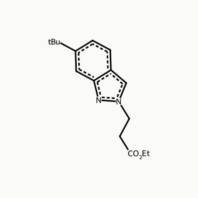 CCOC(=O)CCn1cc2ccc(C(C)(C)C)cc2n1